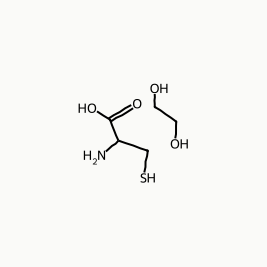 NC(CS)C(=O)O.OCCO